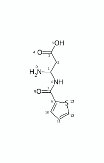 NC(CC(=O)O)NC(=O)c1cccs1